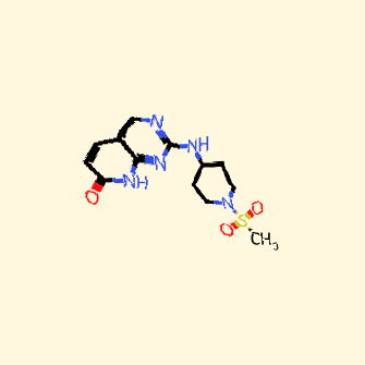 CS(=O)(=O)N1CCC(Nc2ncc3ccc(=O)[nH]c3n2)CC1